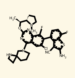 C[C@H](Oc1nc(N2CCCC3(CCN3)C2)c2cc(Cl)c(-c3ccc(F)c4sc(N)c(C#N)c34)c(F)c2n1)[C@@H]1CCCN1C